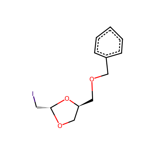 IC[C@H]1OC[C@H](COCc2ccccc2)O1